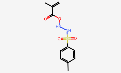 C=C(C)C(=O)ONNS(=O)(=O)c1ccc(C)cc1